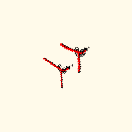 CCCCCCCCCCCCCCCC(=O)OC[C@H](COP(=O)([O-])OCC[N+](C)(C)C)OC(=O)CCCCCCCCCCCCCCC.CCCCCCCCCCCCCCCCCC(=O)OC[C@H](COP(=O)([O-])OCC[N+](C)(C)C)OC(=O)CCCCCCCCCCCCCCCCC